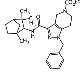 CCOC(=O)N1CCc2c(c(C(=O)NC3C4(C)CCC(C4)C3(C)C)nn2Cc2ccccc2)C1